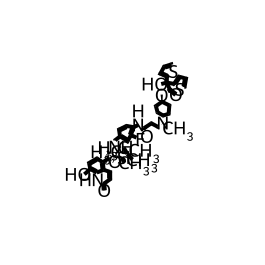 CN(CCC(=O)Nc1ccc(CNC[C@H](O[Si](C)(C)C(C)(C)C)c2ccc(O)c3[nH]c(=O)ccc23)cc1F)[C@H]1CC[C@H](OC(=O)C(O)(c2cccs2)c2cccs2)CC1